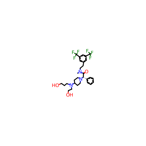 CN(CCc1cc(C(F)(F)F)cc(C(F)(F)F)c1)C(=O)[C@H](c1ccccc1)N1CCC(N(CCO)CCCO)CC1